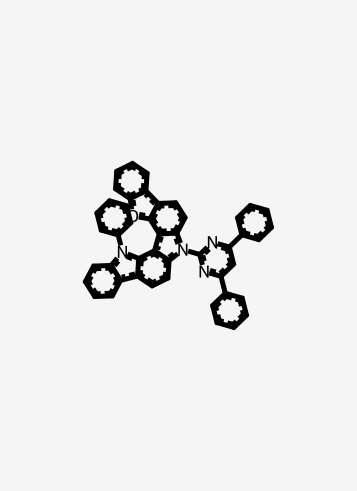 c1ccc(-c2cc(-c3ccccc3)nc(-n3c4ccc5c6ccccc6oc5c4c4c3ccc3c5ccccc5n(-c5ccccc5)c34)n2)cc1